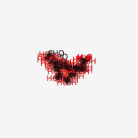 O.O.O.O.O=C[C@H](O)[C@@H](O)[C@@H](O)[C@H](O)CO.O=C[C@H](O)[C@@H](O)[C@H](O)[C@H](O)CO.OC[C@H]1O[C@H](OC[C@H]2O[C@@H](O)[C@H](O)[C@@H](O)[C@@H]2O)[C@H](O)[C@@H](O)[C@H]1O.OC[C@H]1O[C@H](OC[C@H]2O[C@H](OC[C@H]3O[C@H](O[C@]4(CO)O[C@H](CO)[C@@H](O)[C@@H]4O)[C@H](O)[C@@H](O)[C@@H]3O)[C@H](O)[C@@H](O)[C@H]2O)[C@H](O)[C@@H](O)[C@H]1O.OC[C@H]1O[C@H](OC[C@H]2O[C@H](O[C@]3(CO)O[C@H](CO)[C@@H](O)[C@@H]3O)[C@H](O)[C@@H](O)[C@@H]2O)[C@H](O)[C@@H](O)[C@H]1O.OC[C@H]1O[C@](O)(CO)[C@@H](O)[C@@H]1O